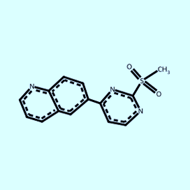 CS(=O)(=O)c1nccc(-c2ccc3ncccc3c2)n1